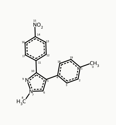 Cc1ccc(-c2cn(C)nc2-c2ccc([N+](=O)[O-])cc2)cc1